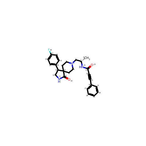 C[C@@H](CN1CCC2(CC1)C(=O)NCC2c1ccc(F)cc1)NC(=O)C#Cc1ccccc1